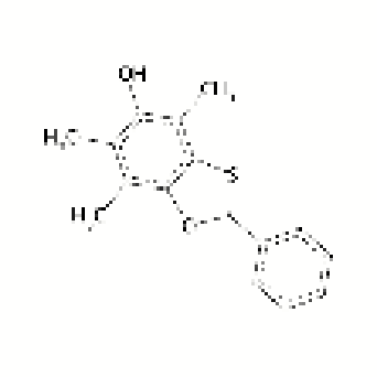 Cc1c(C)c2c(c(C)c1O)SC(c1ccccc1)O2